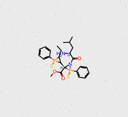 CCC1C([C@@]2(C(=O)OC)N(C(=O)[C@@H](N)CC(C)C)P2(=S)c2ccccc2)P1(=S)c1ccccc1